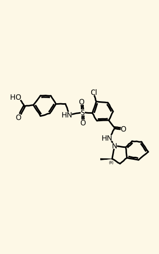 C[C@@H]1Cc2ccccc2N1NC(=O)c1ccc(Cl)c(S(=O)(=O)NCc2ccc(C(=O)O)cc2)c1